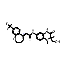 CN1c2ccc(NC(=O)/C=C3\CCCOc4cc(C(F)(F)F)ccc43)cc2NC(=O)C1(C)CO